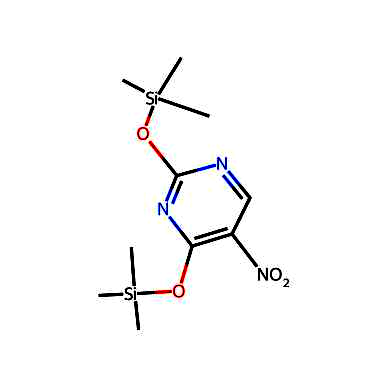 C[Si](C)(C)Oc1ncc([N+](=O)[O-])c(O[Si](C)(C)C)n1